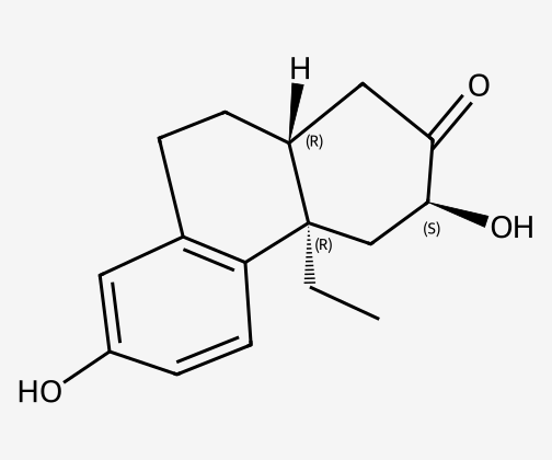 CC[C@@]12C[C@H](O)C(=O)C[C@H]1CCc1cc(O)ccc12